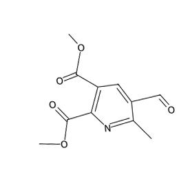 COC(=O)c1cc(C=O)c(C)nc1C(=O)OC